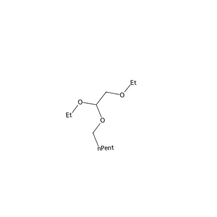 [CH2]COCC(OCC)OCCCCCC